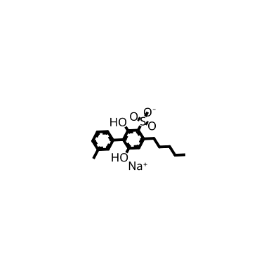 CCCCCc1cc(O)c(-c2cccc(C)c2)c(O)c1S(=O)(=O)[O-].[Na+]